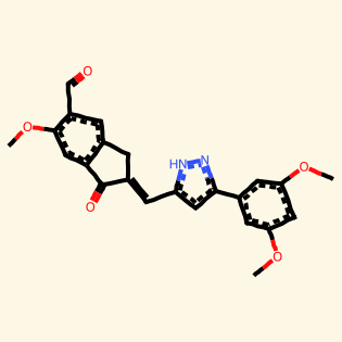 COc1cc(OC)cc(-c2cc(/C=C3\Cc4cc(C=O)c(OC)cc4C3=O)[nH]n2)c1